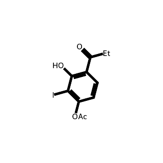 CCC(=O)c1ccc(OC(C)=O)c(I)c1O